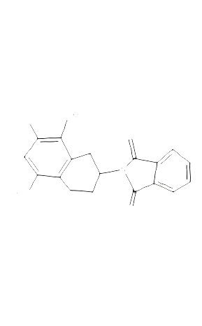 COc1cc(I)c(OC)c2c1CCC(N1C(=O)c3ccccc3C1=O)C2